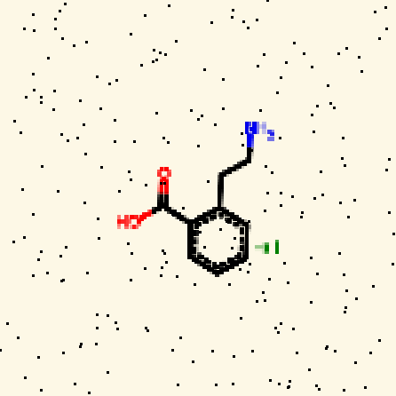 Cl.NCCc1ccccc1C(=O)O